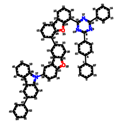 c1ccc(-c2ccc(-c3nc(-c4ccccc4)nc(-c4cccc5c4oc4c(-c6ccc7oc8ccc(-n9c%10ccccc%10c%10cc(-c%11ccccc%11)ccc%109)cc8c7c6)cccc45)n3)cc2)cc1